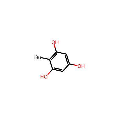 CCC(C)c1c(O)cc(O)cc1O